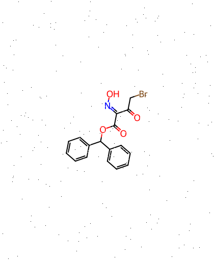 O=C(CBr)C(=NO)C(=O)OC(c1ccccc1)c1ccccc1